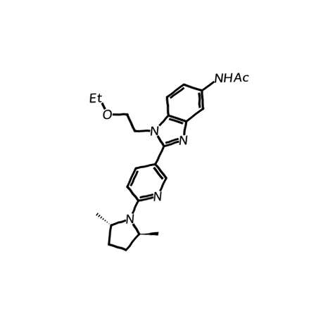 CCOCCn1c(-c2ccc(N3[C@@H](C)CC[C@@H]3C)nc2)nc2cc(NC(C)=O)ccc21